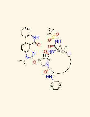 CC(C)n1c(O[C@@H]2C[C@H]3C(=O)N[C@]4(C(=O)NS(=O)(=O)C5(C)CC5)C[C@H]4/C=C\CCCCC[C@H](Nc4ccccc4)C(=O)N3C2)nc2c(C(=O)Nc3ccccc3)cccc21